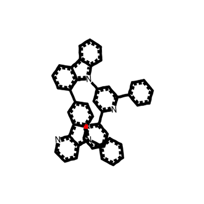 c1ccc(-c2cc(-n3c4ccccc4c4cccc(-c5ccc6c(c5)c5ncccc5n6-c5ccccc5)c43)cc(-c3ccccn3)n2)cc1